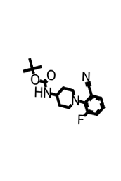 CC(C)(C)OC(=O)NC1CCN(c2c(F)cccc2C#N)CC1